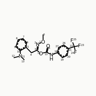 CON=C([CH]c1ccccc1N(C)C)OC(=O)Nc1ccc(C(F)(F)F)cc1